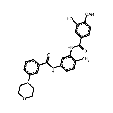 COc1ccc(C(=O)Nc2cc(NC(=O)c3cccc(N4CCOCC4)c3)ccc2C)cc1O